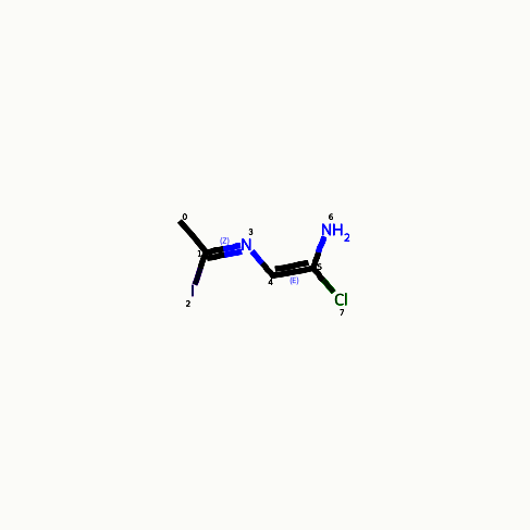 C/C(I)=N/C=C(\N)Cl